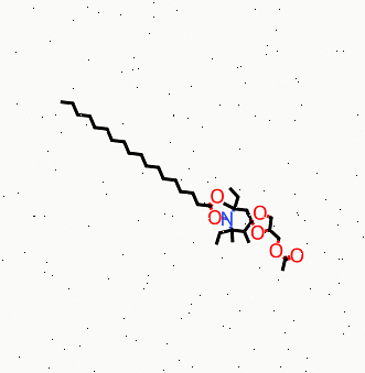 CCCCCCCCCCCCCCCCCC(=O)ON1C(C)(CC)CC2(OCC(COC(C)=O)O2)C(C)C1(C)CC